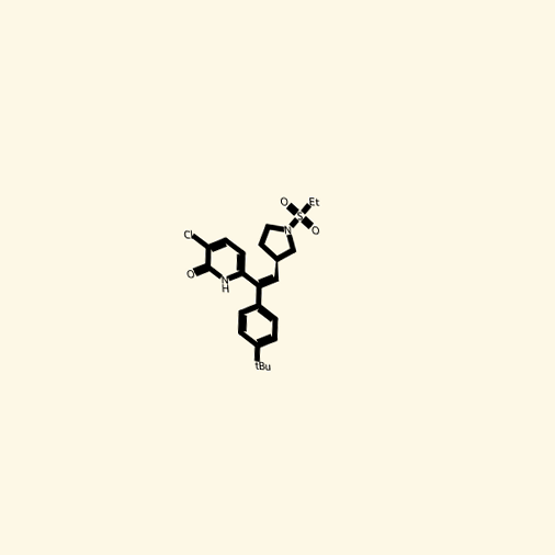 CCS(=O)(=O)N1CC[C@H](/C=C(/c2ccc(C(C)(C)C)cc2)c2ccc(Cl)c(=O)[nH]2)C1